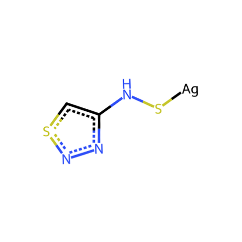 [Ag][S]Nc1csnn1